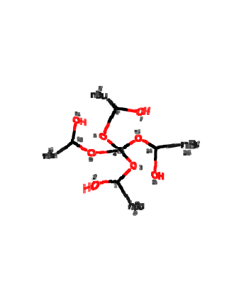 CCCCC(O)O[Si](OC(O)CCCC)(OC(O)CCCC)OC(O)CCCC